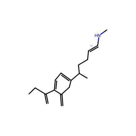 C=C(CC)C1=CC=C(C(C)CC/C=C/NC)CC1=C